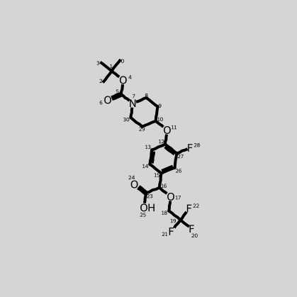 CC(C)(C)OC(=O)N1CCC(Oc2ccc(C(OCC(F)(F)F)C(=O)O)cc2F)CC1